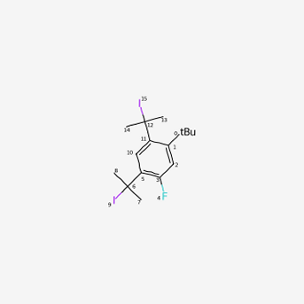 CC(C)(C)c1cc(F)c(C(C)(C)I)cc1C(C)(C)I